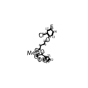 COP(=O)(OC)C(OC(=O)CCCOc1ccc(F)cc1Cl)c1ccco1